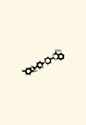 COC(=O)c1ccccc1OCC1CCN(c2ccc(-c3nc4cc(C)ccc4[nH]3)cn2)CC1